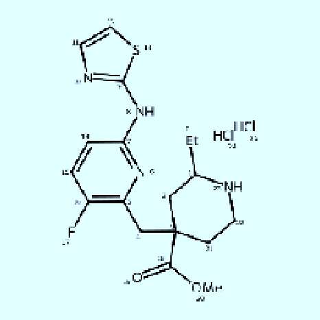 CCC1CC(Cc2nc(Nc3nccs3)ccc2F)(C(=O)OC)CCN1.Cl.Cl